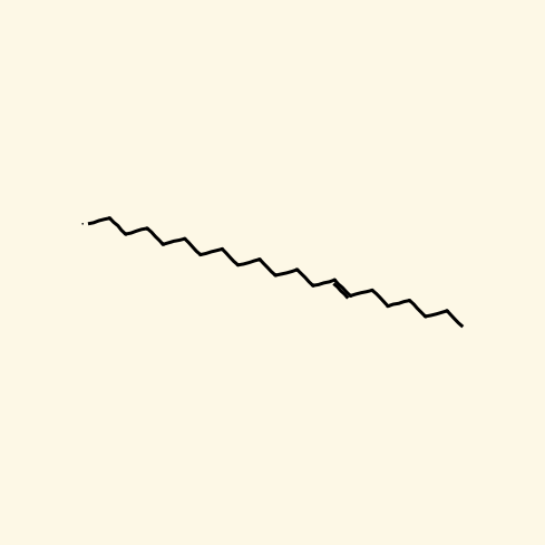 [CH2]CCCCCCCCCCCCC=CCCCCCC